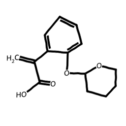 C=C(C(=O)O)c1ccccc1OC1CCCCO1